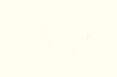 CC1(C)CNC(=O)c2ccc(cc2)Nc2nc(nc(OCC(F)(F)F)n2)NCc2ccc(c(Cl)c2)OCCCN(C#N)C1